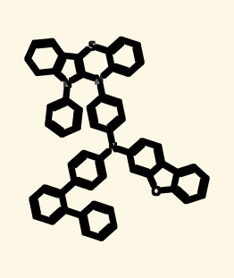 C1=Cc2c3c(n(-c4ccccc4)c2CC1)N(c1ccc(N(c2ccc(-c4ccccc4-c4ccccc4)cc2)c2ccc4c(c2)oc2ccccc24)cc1)c1ccccc1S3